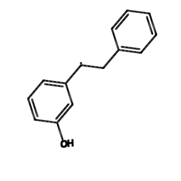 Oc1cccc([CH]Cc2ccccc2)c1